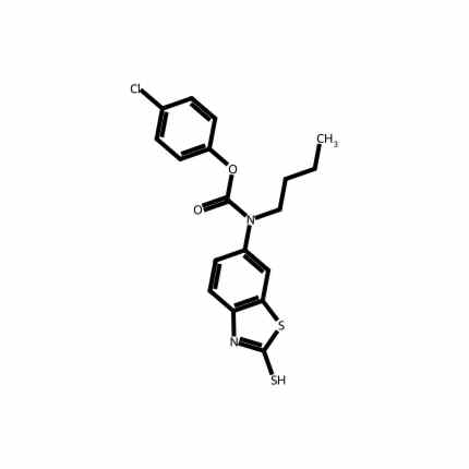 CCCCN(C(=O)Oc1ccc(Cl)cc1)c1ccc2nc(S)sc2c1